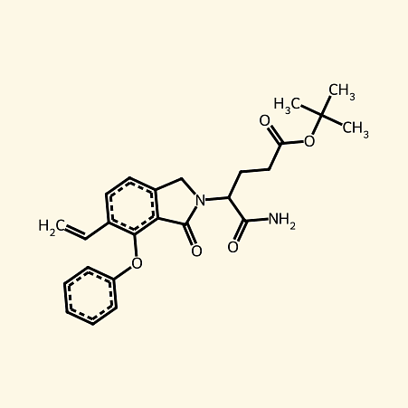 C=Cc1ccc2c(c1Oc1ccccc1)C(=O)N(C(CCC(=O)OC(C)(C)C)C(N)=O)C2